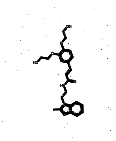 Cc1cc2ccccc2n1CCNC(=O)C=Cc1ccc(OCCO)c(OCCO)c1